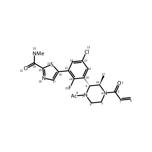 C=CC(=O)N1CCN(C(C)=O)[C@H](c2cc(Cl)cc(-c3cnc(C(=O)NC)s3)c2F)[C@H]1C